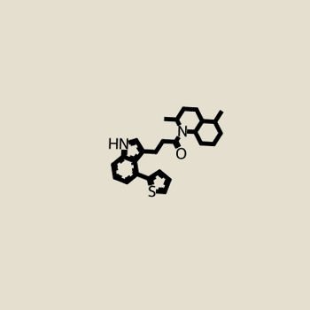 CC1CCCC2C1CCC(C)N2C(=O)CCc1c[nH]c2cccc(-c3cccs3)c12